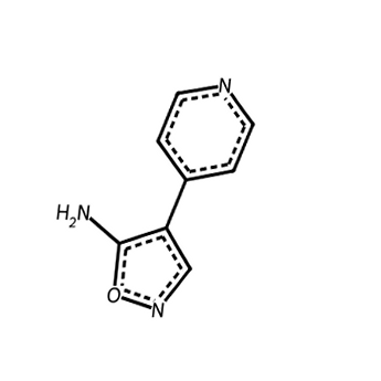 Nc1oncc1-c1ccncc1